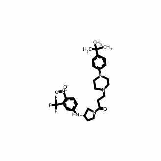 CC(C)(C)c1ccc(N2CCN(CCC(=O)N3CC[C@H](Nc4ccc([N+](=O)[O-])c(C(F)(F)F)c4)C3)CC2)cc1